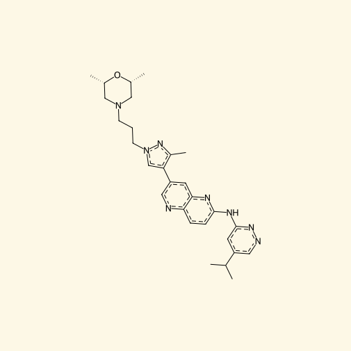 Cc1nn(CCCN2C[C@@H](C)O[C@@H](C)C2)cc1-c1cnc2ccc(Nc3cc(C(C)C)cnn3)nc2c1